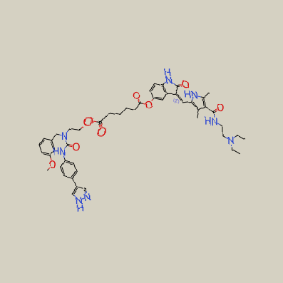 CCN(CC)CCNC(=O)c1c(C)[nH]c(/C=C2\C(=O)Nc3ccc(OC(=O)CCCCC(=O)OCCN(Cc4cccc(OC)c4)C(=O)Nc4ccc(-c5cn[nH]c5)cc4)cc32)c1C